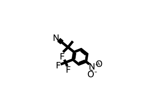 CC(C)(C#N)c1ccc([N+](=O)[O-])cc1C(F)(F)F